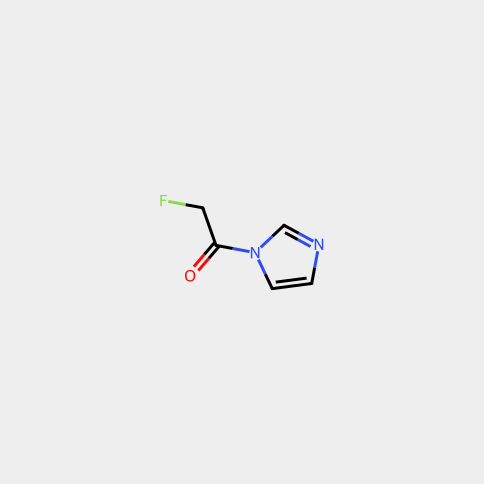 O=C(CF)n1ccnc1